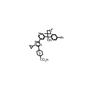 CC(C)c1ccc(C(O)(c2cncc(-c3nc(C45CCC(C(=O)O)(CC4)CC5)n(C4CC4)n3)c2)C2(C)CN(C)C2)cc1